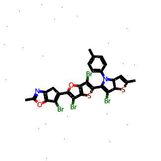 CC1=CC2C(S1)C(Br)=C(c1sc3c(Br)c(C4=C(Br)c5oc(C)nc5C4)oc3c1Br)N2c1ccc(C)cc1